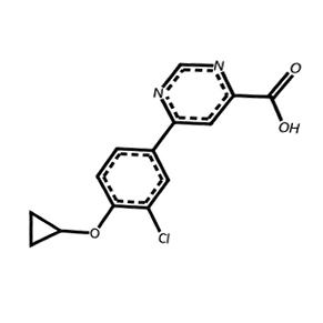 O=C(O)c1cc(-c2ccc(OC3CC3)c(Cl)c2)ncn1